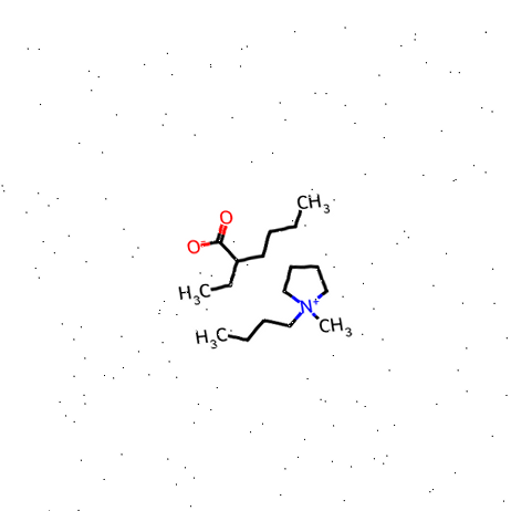 CCCCC(CC)C(=O)[O-].CCCC[N+]1(C)CCCC1